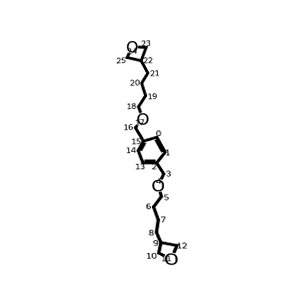 c1cc(COCCCCC2COC2)ccc1COCCCCC1COC1